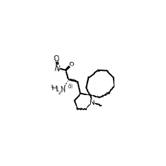 CN1CCCC(C[C@H](N)C(=O)N=O)C12CCCCCCCC2